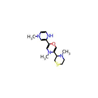 CN1C=CNC(C2=CN(C)C(C3CSCCN3C)=CO2)=C1